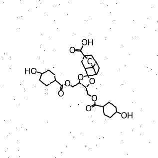 O=C(OCC1OC2(OC1COC(=O)C1CCC(O)CC1)C1CC3CC2CC(C(=O)O)(C3)C1)C1CCC(O)CC1